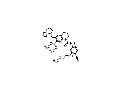 COCCNc1cc(NC(=O)N2CCCc3cc(CN4CCCC45COC5)c(C(OC)OC)nc32)ncc1C#N